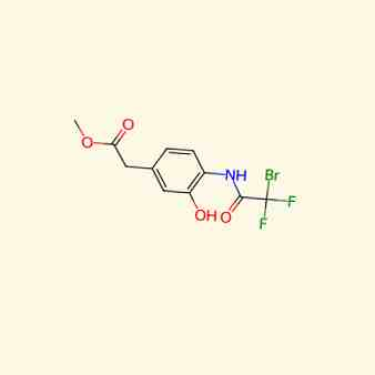 COC(=O)Cc1ccc(NC(=O)C(F)(F)Br)c(O)c1